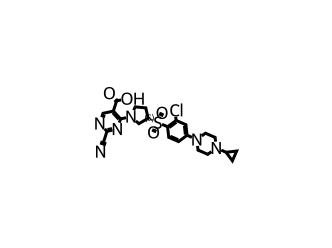 N#Cc1ncc(C(=O)O)c(N2CC[C@H](S(=O)(=O)c3ccc(N4CCN(C5CC5)CC4)cc3Cl)C2)n1